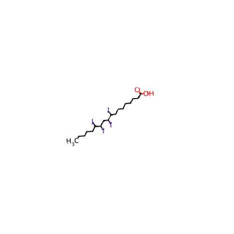 CCCCCC(I)C(I)CC(I)C(I)CCCCCCCC(=O)O